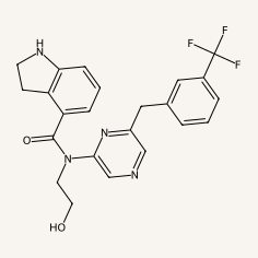 O=C(c1cccc2c1CCN2)N(CCO)c1cncc(Cc2cccc(C(F)(F)F)c2)n1